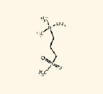 C[N+](C)(C)CCCS(C)(=O)=O